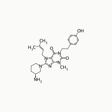 CC(C)=CCn1c(N2CCC[C@H](N)C2)nc2c1c(=O)n(CCc1ccc(O)cc1)c(=O)n2C